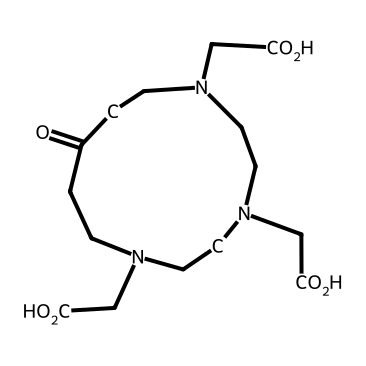 O=C(O)CN1CCC(=O)CCN(CC(=O)O)CCN(CC(=O)O)CC1